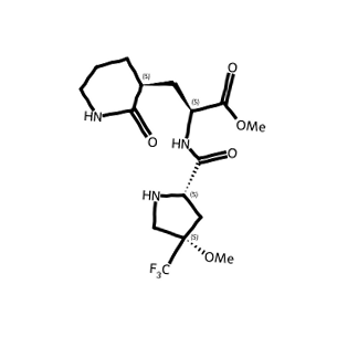 COC(=O)[C@H](C[C@@H]1CCCNC1=O)NC(=O)[C@@H]1C[C@@](OC)(C(F)(F)F)CN1